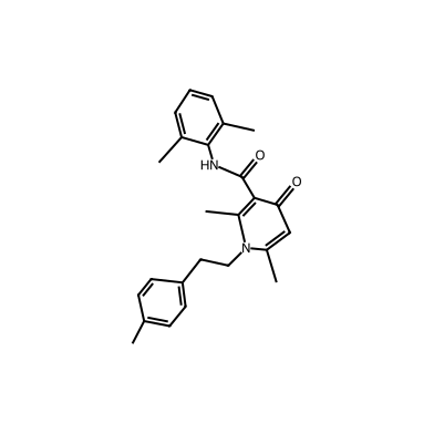 Cc1ccc(CCn2c(C)cc(=O)c(C(=O)Nc3c(C)cccc3C)c2C)cc1